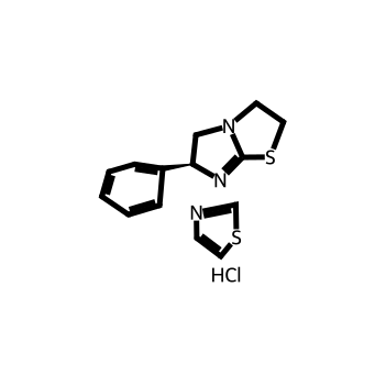 Cl.c1ccc([C@H]2CN3CCSC3=N2)cc1.c1cscn1